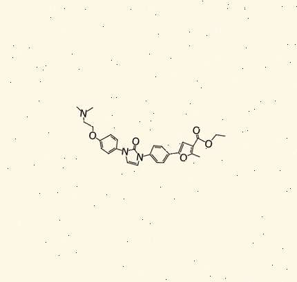 CCOC(=O)c1cc(-c2ccc(-n3ccn(-c4ccc(OCCN(C)C)cc4)c3=O)cc2)oc1C